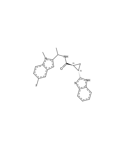 CC(NC(=O)[C@H]1C[C@@H]1c1nc2ccccc2[nH]1)c1cc2cc(F)ccc2n1C